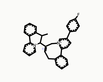 CC1c2ccccc2-c2cccc[n+]2C1/C1=C/Cc2ccccc2-c2ccc(-c3ccc(F)cc3)c[n+]2C1